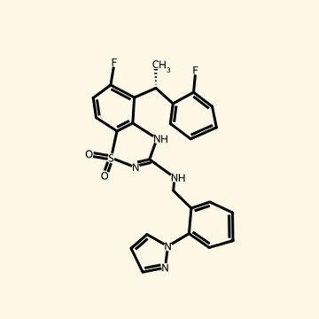 C[C@H](c1ccccc1F)c1c(F)ccc2c1NC(NCc1ccccc1-n1cccn1)=NS2(=O)=O